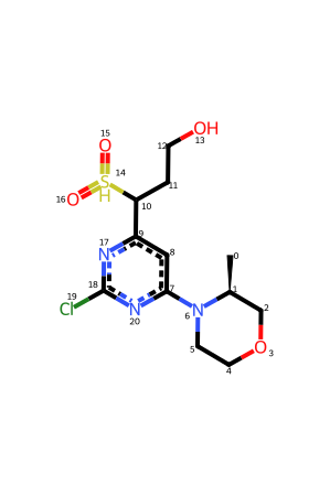 C[C@H]1COCCN1c1cc(C(CCO)[SH](=O)=O)nc(Cl)n1